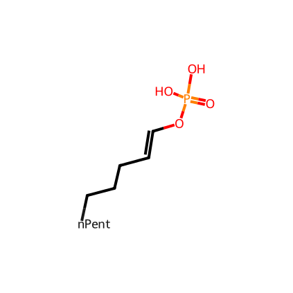 CCCCCCCCC=COP(=O)(O)O